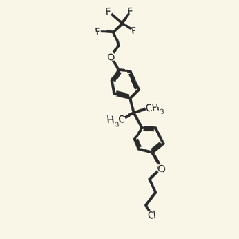 CC(C)(c1ccc(OCCCCl)cc1)c1ccc(OCC(F)C(F)(F)F)cc1